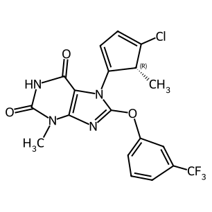 C[C@H]1C(Cl)=CC=C1n1c(Oc2cccc(C(F)(F)F)c2)nc2c1c(=O)[nH]c(=O)n2C